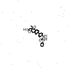 CCC1(CC(=O)O)CCc2cc(-c3ccc(NC(=O)Nc4ccccc4)cc3)ccc2C1=O